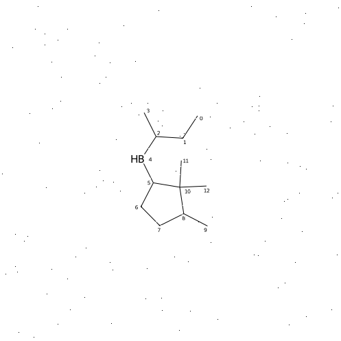 CCC(C)BC1CCC(C)C1(C)C